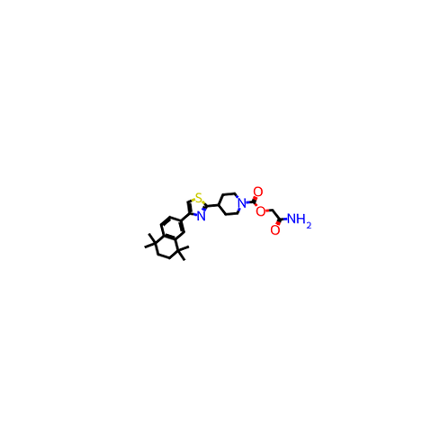 CC1(C)CCC(C)(C)c2cc(-c3csc(C4CCN(C(=O)OCC(N)=O)CC4)n3)ccc21